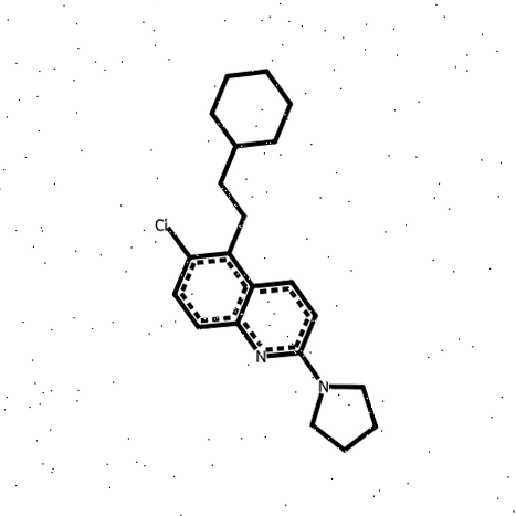 Clc1ccc2nc(N3CCCC3)ccc2c1CCC1CCCCC1